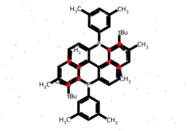 Cc1cc(C)cc(P(c2cc(C)cc(C)c2)c2cccc(OC(=O)C(C)(C)C)c2-c2c(OC(=O)C(C)(C)C)cccc2P(c2cc(C)cc(C)c2)c2cc(C)cc(C)c2)c1